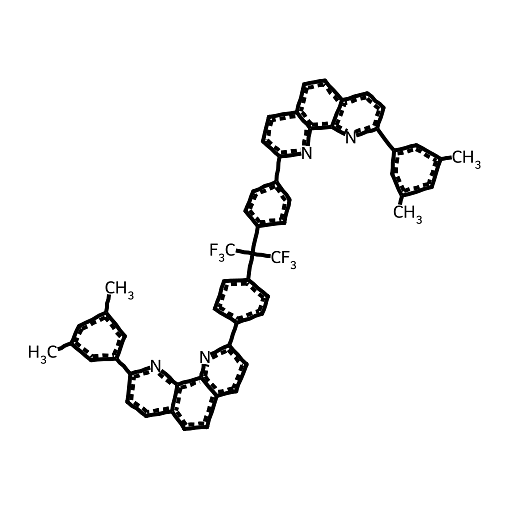 Cc1cc(C)cc(-c2ccc3ccc4ccc(-c5ccc(C(c6ccc(-c7ccc8ccc9ccc(-c%10cc(C)cc(C)c%10)nc9c8n7)cc6)(C(F)(F)F)C(F)(F)F)cc5)nc4c3n2)c1